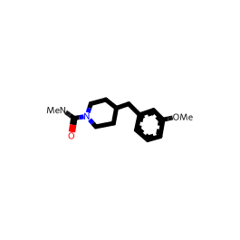 CNC(=O)N1CCC(Cc2cccc(OC)c2)CC1